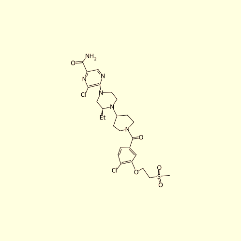 CC[C@H]1CN(c2ncc(C(N)=O)nc2Cl)CCN1C1CCN(C(=O)c2ccc(Cl)c(OCCS(C)(=O)=O)c2)CC1